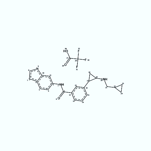 O=C(Nc1ccc2scnc2c1)c1cccc(C2CC2NCC2CC2)c1.O=C(O)C(F)(F)F